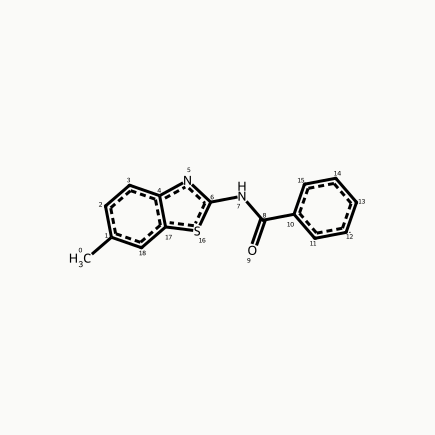 Cc1ccc2nc(NC(=O)c3c[c]ccc3)sc2c1